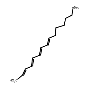 CCCCCCCCCCCCCCCC=CC=CC=CC=CC(=O)O